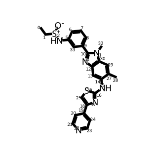 CC[S+]([O-])Nc1cccc(-c2nc3cc(Nc4nc(-c5ccncc5)cs4)c(C)cc3n2C)c1